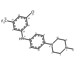 CN1CCN(c2ccc(Nc3cc(Cl)cc(C(F)(F)F)c3)cc2)CC1